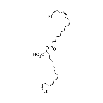 CC/C=C\C/C=C\C/C=C\CCCCCCCC(=O)OC(CCCCCC/C=C\C/C=C\C/C=C\CC)C(=O)O